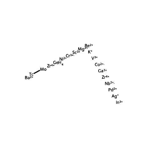 [Ag+].[Ba+2].[Be+2].[Co+2].[Cr+3].[Ga+3].[GeH4].[In+3].[K+].[Mg+2].[Mo][Tc].[Nb+2].[Ni+2].[Pd+2].[Sc+3].[V+3].[Zr+4].[Zr+4]